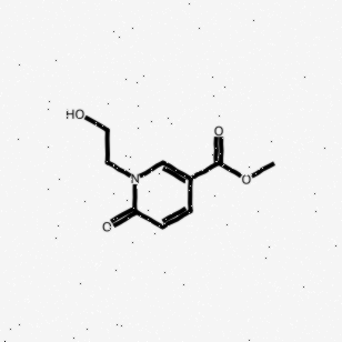 COC(=O)c1ccc(=O)n(CCO)c1